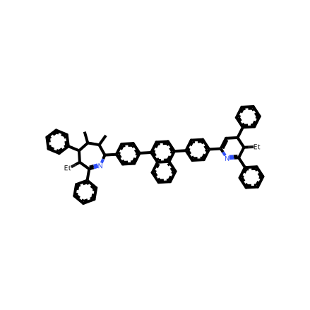 CCC1C(c2ccccc2)=NC(c2ccc(-c3ccc(-c4ccc(C5N=C(c6ccccc6)C(CC)C(c6ccccc6)C(C)C5C)cc4)c4ccccc34)cc2)=CC1c1ccccc1